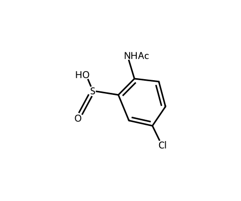 CC(=O)Nc1ccc(Cl)cc1S(=O)O